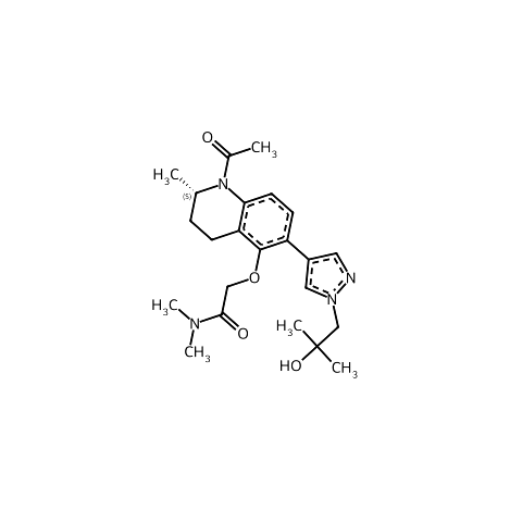 CC(=O)N1c2ccc(-c3cnn(CC(C)(C)O)c3)c(OCC(=O)N(C)C)c2CC[C@@H]1C